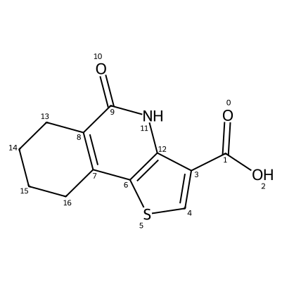 O=C(O)c1csc2c3c(c(=O)[nH]c12)CCCC3